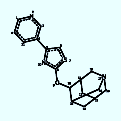 c1cncc(-c2csc(OC3C4CC5CC3CN(C5)C4)n2)c1